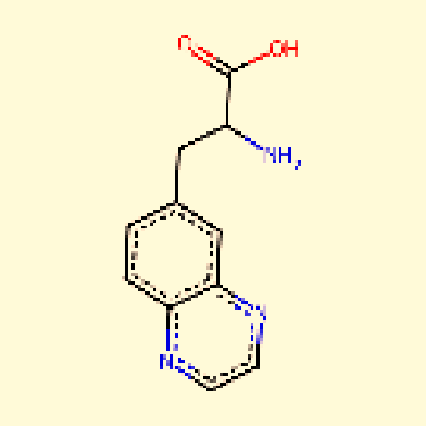 NC(Cc1ccc2nccnc2c1)C(=O)O